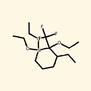 CCOC1(C(F)(F)F)C(CC)CCC[Si]1(OCC)OCC